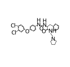 O=C(Nc1ccc(Oc2ccc(Cl)c(Cl)c2)cc1)NC(Cc1ccccc1)C(=O)NCCN1CCCC1